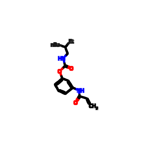 C=CC(=O)Nc1cccc(OC(=O)NCC(CC)CCCC)c1